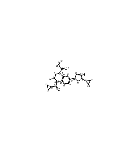 CC(C)OC(=O)N1C[C@H](C)N(C(=O)C2CC2)c2ccc(C3CNN(C4CC4)C3)cc21